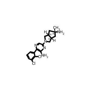 C[C@]1(N)C[C@H]2CN(c3cnc(-c4cccc(Cl)c4Cl)c(N)n3)C[C@H]2C1